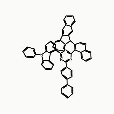 c1ccc(-c2ccc(-c3nc(-c4c(C5c6ccccc6-c6cc7ccccc7cc65)ccc5ccccc45)nc(-c4cccc5c4c4ccccc4n5-c4ccccc4)n3)cc2)cc1